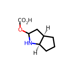 O=C(O)OC1C[C@H]2CCC[C@H]2N1